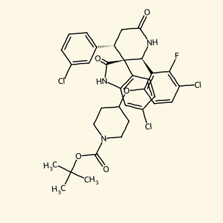 CC(C)(C)OC(=O)N1CCC(Oc2ccc(Cl)c(F)c2[C@@H]2NC(=O)C[C@@H](c3cccc(Cl)c3)[C@]23C(=O)Nc2cc(Cl)ccc23)CC1